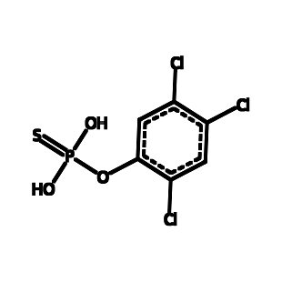 OP(O)(=S)Oc1cc(Cl)c(Cl)cc1Cl